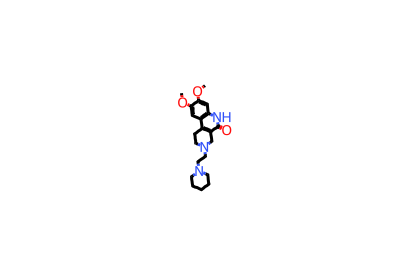 COc1cc2[nH]c(=O)c3c(c2cc1OC)CCN(CCN1CCCCC1)C3